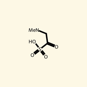 CNCC(=O)S(=O)(=O)O